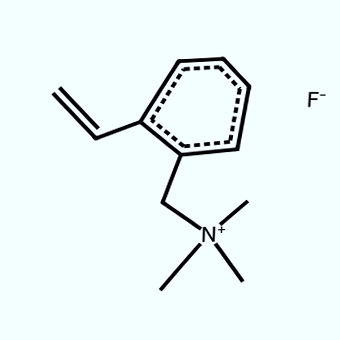 C=Cc1ccccc1C[N+](C)(C)C.[F-]